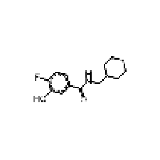 O=C(NCC1CCCCC1)c1ccc(F)c(O)c1